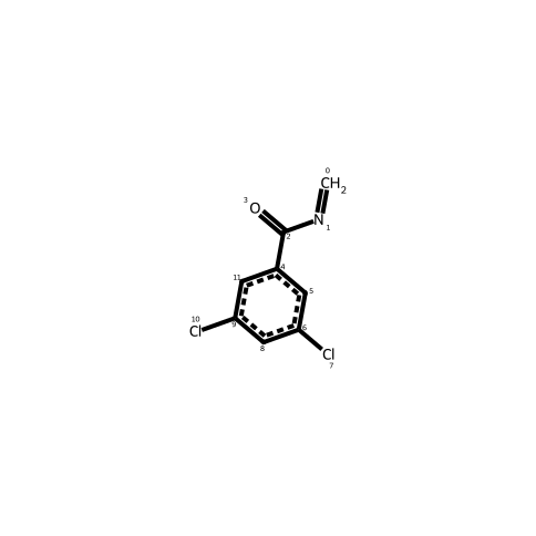 C=NC(=O)c1cc(Cl)cc(Cl)c1